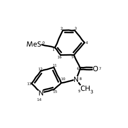 CSc1cccc(C(=O)N(C)c2cccnc2)c1